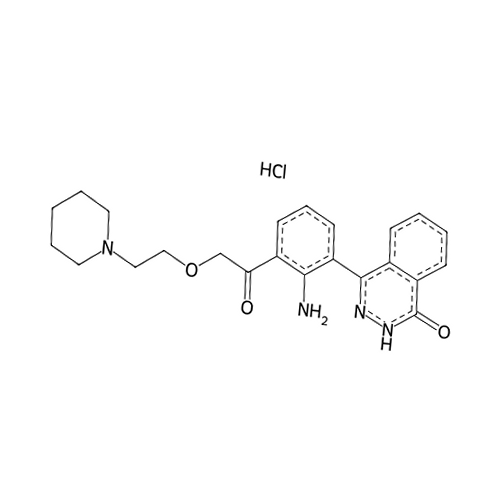 Cl.Nc1c(C(=O)COCCN2CCCCC2)cccc1-c1n[nH]c(=O)c2ccccc12